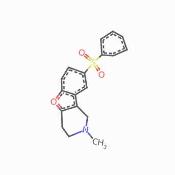 CN1CCc2oc3ccc(S(=O)(=O)c4ccccc4)cc3c2C1